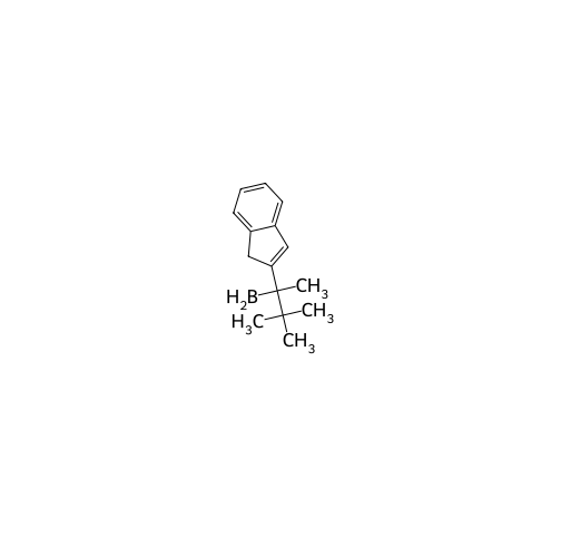 BC(C)(C1=Cc2ccccc2C1)C(C)(C)C